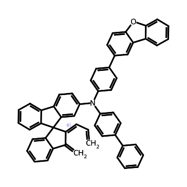 C=C/C=C1\C(=C)c2ccccc2C12c1ccccc1-c1ccc(N(c3ccc(-c4ccccc4)cc3)c3ccc(-c4ccc5oc6ccccc6c5c4)cc3)cc12